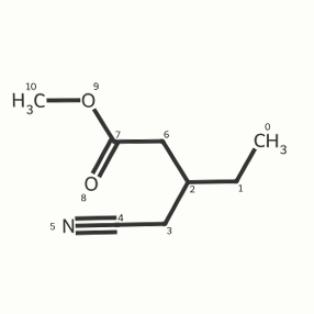 CCC(CC#N)CC(=O)OC